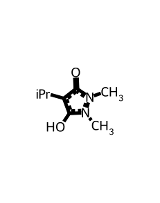 CC(C)c1c(O)n(C)n(C)c1=O